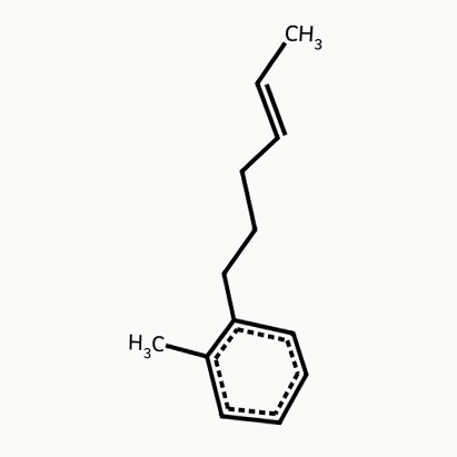 CC=CCCCc1ccccc1C